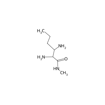 CCCC(N)C(N)C(=O)NC